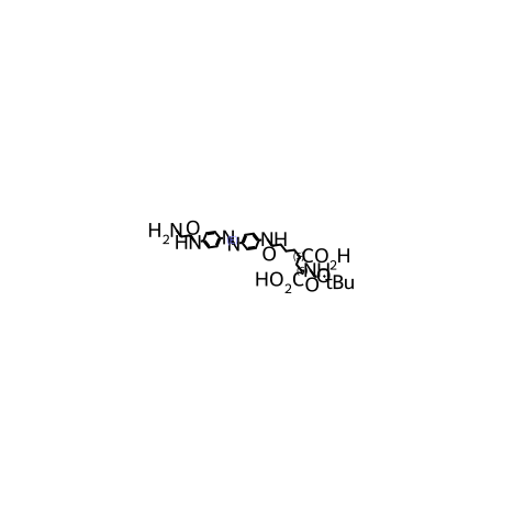 CC(C)(C)OC(=O)N[C@@H](C[C@H](CCCC(=O)Nc1ccc(/N=N/c2ccc(NC(=O)CN)cc2)cc1)C(=O)O)C(=O)O